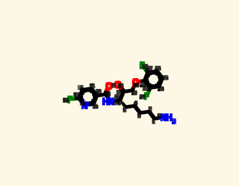 NCCCCC[C@H](NC(=O)c1ccc(F)nc1)C(=O)COc1c(F)cccc1F